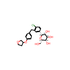 OC[C@@H]1O[C@H](c2ccc(Cl)c(Cc3ccc(OC4CCOC4)cc3)c2)[C@H](O)[C@@H](O)[C@@H]1O